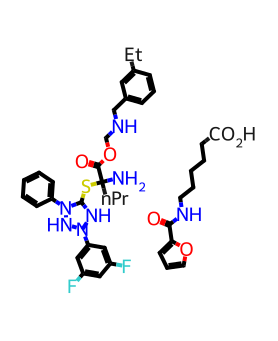 CCCC(N)(SC1NN(c2cc(F)cc(F)c2)NN1c1ccccc1)C(=O)OCNCc1cccc(CC)c1.O=C(O)CCCCCNC(=O)c1ccco1